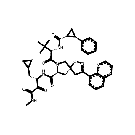 CNC(=O)C(=O)[C@H](CC1CC1)NC(=O)[C@@H]1C[C@]2(CC(c3cccc4cccnc34)=NO2)CN1C(=O)[C@@H](NC(=O)[C@@H]1C[C@H]1c1ccccc1)C(C)(C)C